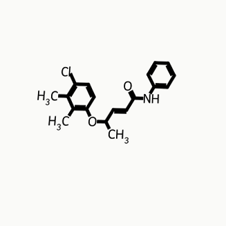 Cc1c(Cl)ccc(OC(C)C=CC(=O)Nc2ccccc2)c1C